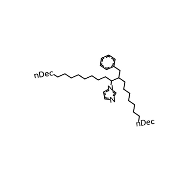 CCCCCCCCCCCCCCCCCCC(C(CCCCCCCCCCCCCCCCC)Cc1ccccc1)n1ccnc1